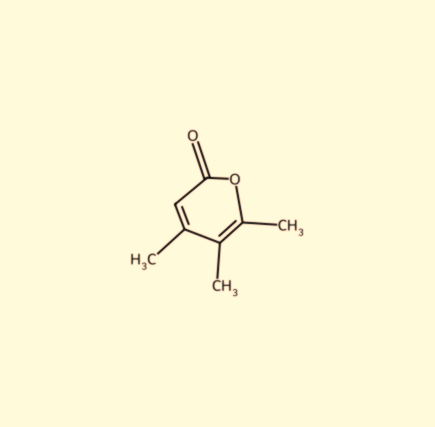 Cc1cc(=O)oc(C)c1C